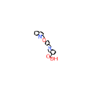 O=C(O)c1cccc2c1ccn2Cc1ccc(OCc2ccc3ccccc3n2)cc1